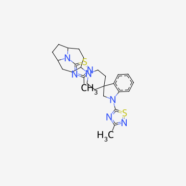 Cc1nsc(N2CC3(CCN(C4CCC5CCC(CC4)N5c4nc(C)ns4)CC3)c3ccccc32)n1